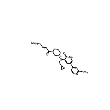 CNC/C=C/C(=O)N1CCC[C@@H](N(CC2CC2)c2cc(-c3ccnc(NC)c3)c[nH]c2=O)C1